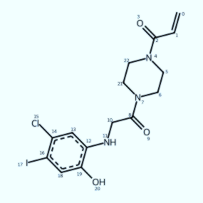 C=CC(=O)N1CCN(C(=O)CNc2cc(Cl)c(I)cc2O)CC1